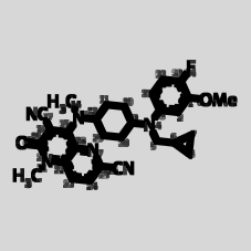 COc1cc(N(CC2CC2)C2CCC(N(C)c3c(C#N)c(=O)n(C)c4ccc(C#N)nc34)CC2)ccc1F